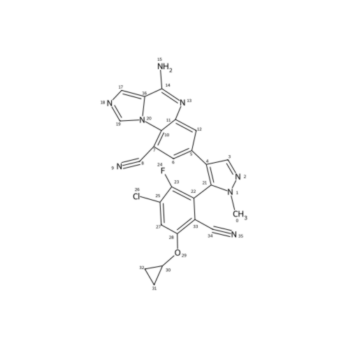 Cn1ncc(-c2cc(C#N)c3c(c2)nc(N)c2cncn23)c1-c1c(F)c(Cl)cc(OC2CC2)c1C#N